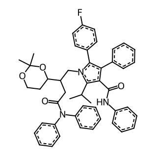 CC(C)c1c(C(=O)Nc2ccccc2)c(-c2ccccc2)c(-c2ccc(F)cc2)n1CC(CC(=O)N(c1ccccc1)c1ccccc1)C1CCOC(C)(C)O1